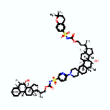 CC[C@H]1[C@@H](O)[C@@H]2[C@H](CC[C@]3(C)[C@@H]([C@H](C)COC(=O)NS(=O)(=O)c4ccc(N5CCC6(CC[C@H]7[C@@H](CC)[C@@H](O)[C@@H]8[C@H](CC[C@]9(C)[C@@H]([C@H](C)CCOC(=O)NS(=O)(=O)c%10ccc%11c(c%10)CCC(C)(C)O%11)CC[C@@H]89)[C@@]7(C)C6)CC5)nc4)CC[C@@H]23)[C@@]2(C)CCCC[C@@H]12